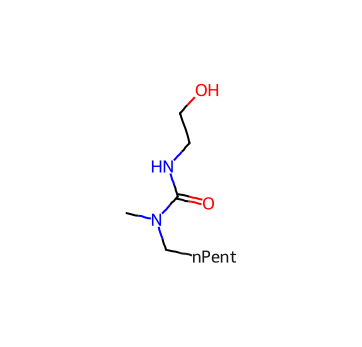 CCCCCCN(C)C(=O)NCCO